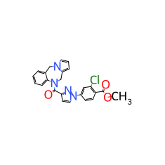 COC(=O)c1ccc(-n2ccc(C(=O)N3Cc4cccn4Cc4ccccc43)n2)cc1Cl